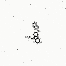 CN(c1nc2ccccc2o1)[C@H]1CCc2c(c3cc(F)ccc3n2CC(=O)O)C1